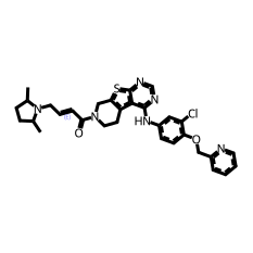 CC1CCC(C)N1C/C=C/C(=O)N1CCc2c(sc3ncnc(Nc4ccc(OCc5ccccn5)c(Cl)c4)c23)C1